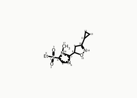 CCS(=O)(=O)c1cnc(C2CC(C3CC3)=NO2)n1C